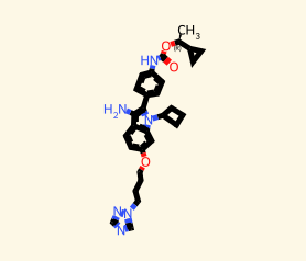 C[C@@H](OC(=O)Nc1ccc(-c2c(N)c3ccc(OCCCCn4cncn4)cc3n2C2CCC2)cc1)C1CC1